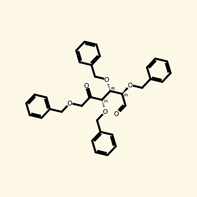 O=C[C@H](OCc1ccccc1)[C@@H](OCc1ccccc1)[C@H](OCc1ccccc1)C(=O)COCc1ccccc1